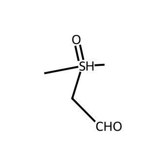 C[SH](C)(=O)CC=O